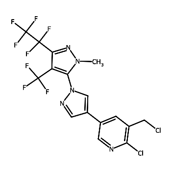 Cn1nc(C(F)(F)C(F)(F)F)c(C(F)(F)F)c1-n1cc(-c2cnc(Cl)c(CCl)c2)cn1